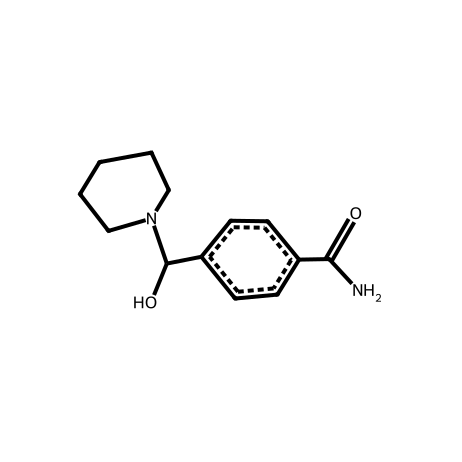 NC(=O)c1ccc(C(O)N2CCCCC2)cc1